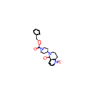 O=C(OCc1ccccc1)N1CCC(N2CCCc3c(ccc[n+]3[O-])C2=O)CC1